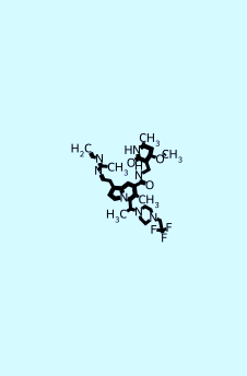 C=C/N=C(C)\N=C/Cc1ccn2c(C(C)N3CCN(CC(F)(F)F)CC3)c(C)c(C(=O)NCc3c(OC)cc(C)[nH]c3=O)cc12